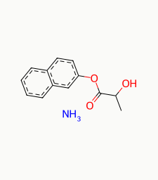 CC(O)C(=O)Oc1ccc2ccccc2c1.N